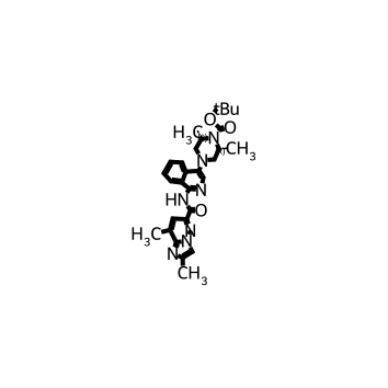 Cc1cn2nc(C(=O)Nc3ncc(N4C[C@@H](C)N(C(=O)OC(C)(C)C)[C@@H](C)C4)c4ccccc34)cc(C)c2n1